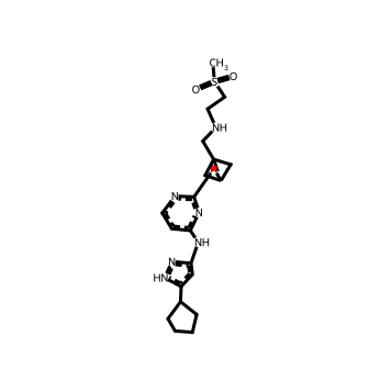 CS(=O)(=O)CCNCC12CC(C1)N(c1nccc(Nc3cc(C4CCCC4)[nH]n3)n1)C2